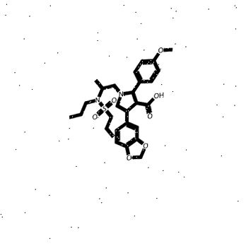 CCCN(C(C)CN1CC(c2ccc3c(c2)OCO3)C(C(=O)O)C1c1ccc(OC)cc1)S(=O)(=O)CCC